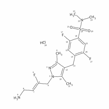 Cc1nn(CC(F)=CCN)c(C)c1Cc1cc(F)c(S(=O)(=O)N(C)C)cc1F.Cl